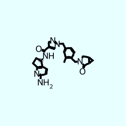 Cc1cc(Cn2cc(C(=O)N[C@@H]3CCc4nc(N)ccc43)cn2)ccc1CN1CC2CC2C1=O